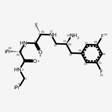 CC(C)CNC(=O)[C@@H](NC(=O)[C@H](C)NC[C@@H](N)Cc1cc(F)cc(F)c1)C(C)C